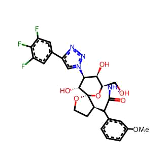 COc1cccc(C(C(N)=O)[C@H]2CCO[C@]23O[C@H](CO)[C@H](O)[C@H](n2cc(-c4cc(F)c(F)c(F)c4)nn2)[C@H]3O)c1